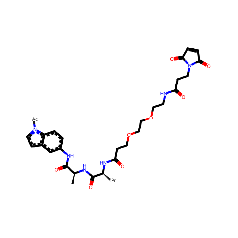 CC(=O)n1ccc2cc(NC(=O)[C@H](C)NC(=O)[C@@H](NC(=O)CCOCCOCCNC(=O)CCN3C(=O)C=CC3=O)C(C)C)ccc21